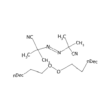 CC(C)(C#N)N=NC(C)(C)C#N.CCCCCCCCCCCCOOCCCCCCCCCCCC